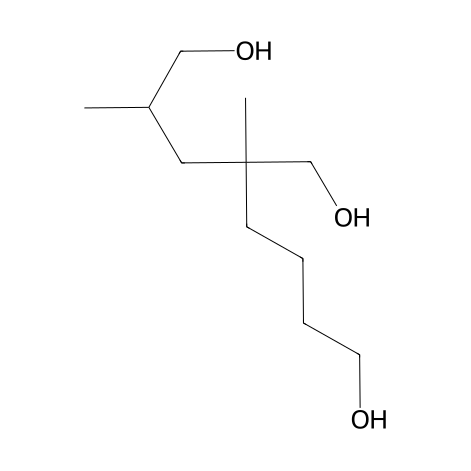 CC(CO)CC(C)(CO)CCCCO